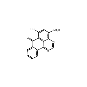 O=C1c2ccccc2-c2ncnc3c(S(=O)(=O)O)cc(O)c1c23